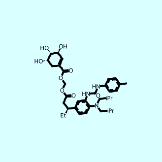 CC[C@@H](CC(=O)OCOC(=O)C1=C[C@H](O)[C@@H](O)[C@@H](O)C1)c1ccc(N(CC(C)C)CC(C)C)c(NC(=O)Nc2ccc(C)cc2)c1